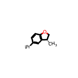 CC(C)c1ccc2c(c1)[C@@H](C)CO2